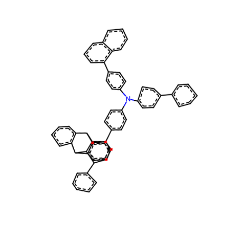 c1ccc(-c2ccc(N(c3ccc(-c4ccc(-c5ccccc5)c5c4C4c6ccccc6C5c5ccccc54)cc3)c3ccc(-c4cccc5ccccc45)cc3)cc2)cc1